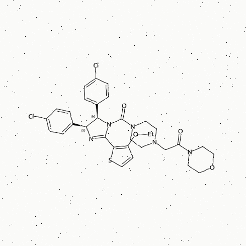 CCOc1ccsc1C1=N[C@@H](c2ccc(Cl)cc2)[C@@H](c2ccc(Cl)cc2)N1C(=O)N1CCN(CC(=O)N2CCOCC2)CC1